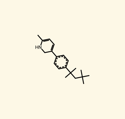 CC1=CC=C(c2ccc(C(C)(C)CC(C)(C)C)cc2)CN1